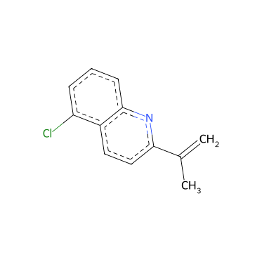 C=C(C)c1ccc2c(Cl)cccc2n1